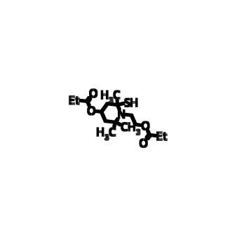 CCC(=O)OCCN1C(C)(C)CC(OC(=O)CC)CC1(C)S